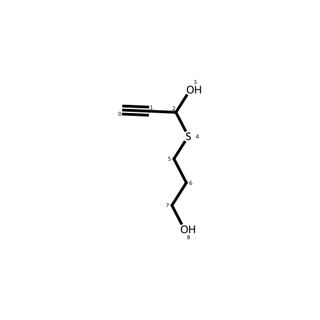 C#CC(O)SCCCO